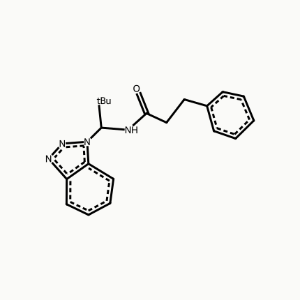 CC(C)(C)C(NC(=O)CCc1ccccc1)n1nnc2ccccc21